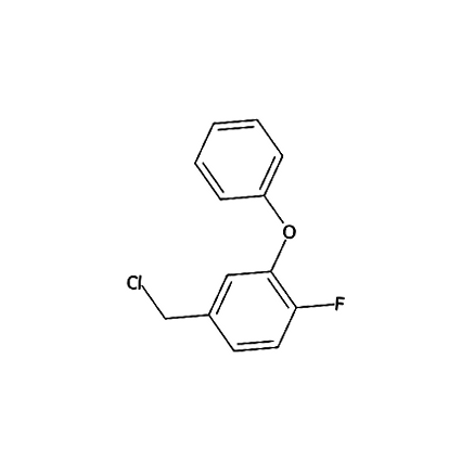 Fc1ccc(CCl)cc1Oc1ccccc1